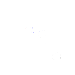 CC(C)OCC(=O)NNc1nccc(N2CCC(F)(c3ccccc3)CC2)c1Cl